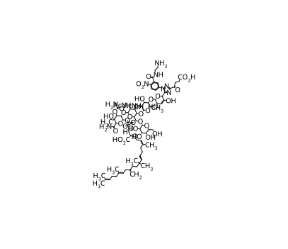 C=C(C/C=C(\C)CCC=C(C)C)CCC(C)(C)/C=C/CC/C(C)=C\CO[C@H](COP(=O)(O)OC1OC(C(N)=O)C(C)(O)C(OC(N)=O)C1OC1OC(COC2OC(CO)C(O)C(O)C2O)C(OC2OC(C)C(OC3OC(c4nc(C(=O)CCC(=O)O)nn4-c4ccc([N+](=O)[O-])c(C(=O)NCCN)c4)C(O)=CC3O)C(O)C2NC(C)=O)C(O)C1NC(C)=O)C(=O)O